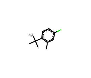 BC(C)(C)c1ccc(Cl)cc1C